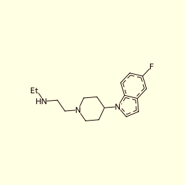 CCNCCN1CCC(n2ccc3cc(F)ccc32)CC1